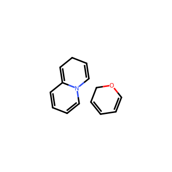 C1=CC2=CCC=CN2C=C1.C1=CCOC=C1